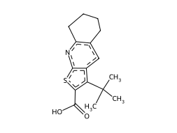 CC(C)(C)c1c(C(=O)O)sc2nc3c(cc12)CCCC3